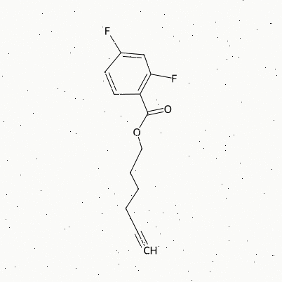 C#CCCCCOC(=O)c1ccc(F)cc1F